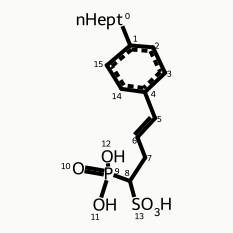 CCCCCCCc1ccc(C=CCC(P(=O)(O)O)S(=O)(=O)O)cc1